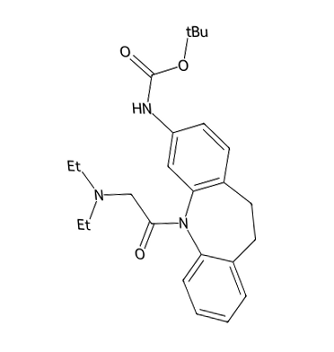 CCN(CC)CC(=O)N1c2ccccc2CCc2ccc(NC(=O)OC(C)(C)C)cc21